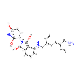 C=C/C(=C\C=C(/C=C)CNc1cccc2c1C(=O)N(C1CCC(=O)NC1=O)C2=O)CN